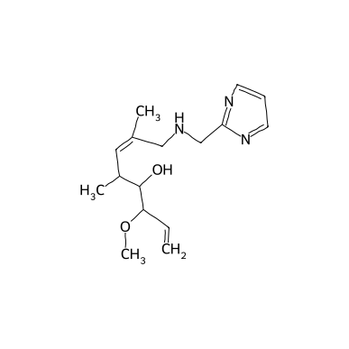 C=CC(OC)C(O)C(C)/C=C(/C)CNCc1ncccn1